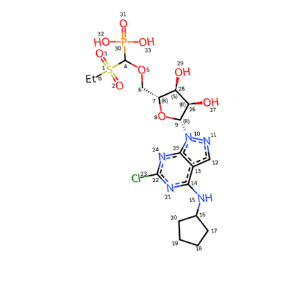 CCS(=O)(=O)C(OC[C@H]1O[C@@H](n2ncc3c(NC4CCCC4)nc(Cl)nc32)[C@H](O)[C@@H]1O)P(=O)(O)O